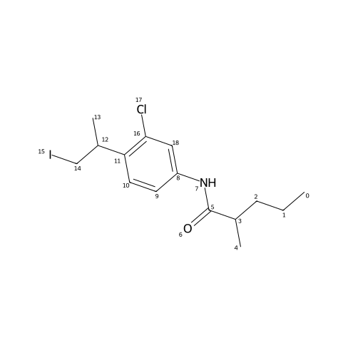 CCCC(C)C(=O)Nc1ccc(C(C)CI)c(Cl)c1